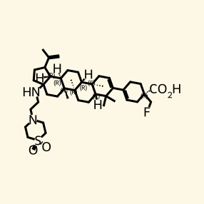 C=C(C)C1CCC2(NCCN3CCS(=O)(=O)CC3)CC[C@]3(C)[C@H](CC[C@@H]4[C@@]5(C)CC=C(C6=CC[C@@](CF)(C(=O)O)CC6)C(C)(C)[C@@H]5CC[C@]43C)[C@@H]12